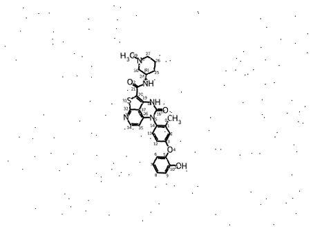 Cc1cc(Oc2ccccc2O)ccc1N1C(=O)Nc2c(C(=O)N[C@@H]3CCCN(C)C3)sc3nccc1c23